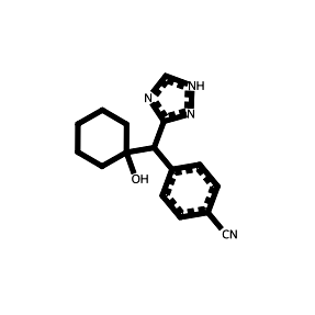 N#Cc1ccc(C(c2nc[nH]n2)C2(O)CCCCC2)cc1